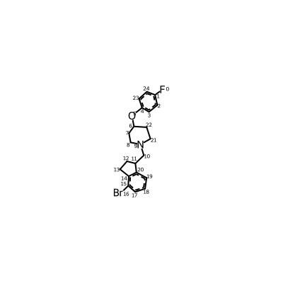 Fc1ccc(OC2CCN(CC3CCc4c(Br)cccc43)CC2)cc1